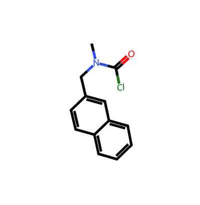 CN(Cc1ccc2ccccc2c1)C(=O)Cl